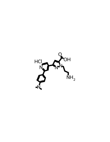 CN(C)c1ccc(-c2cc(-c3cc(C(=O)O)n(CCCN)n3)ccn2)cc1.Cl